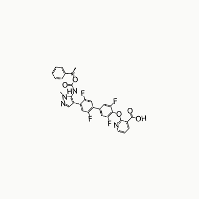 C[C@@H](OC(=O)Nc1c(-c2cc(F)c(-c3cc(F)c(Oc4ncccc4C(=O)O)c(F)c3)cc2F)cnn1C)c1ccccc1